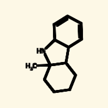 CC12CCCCC1C1C=CC=CC1N2